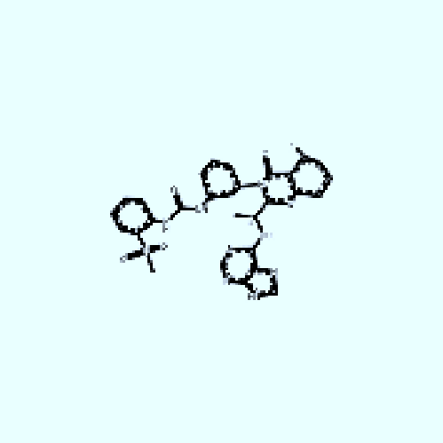 C[C@H](Nc1ncnc2[nH]cnc12)c1nc2cccc(Cl)c2c(=O)n1-c1cccc(NC(=O)Nc2ccccc2S(C)(=O)=O)c1